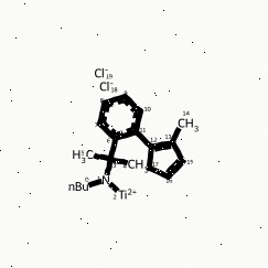 CCCC[N]([Ti+2])C(C)(C)c1ccccc1C1=C(C)C=CC1.[Cl-].[Cl-]